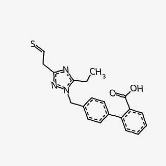 CCc1nc(CC=S)nn1Cc1ccc(-c2ccccc2C(=O)O)cc1